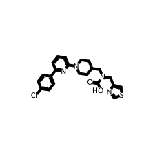 O=C(O)N(Cc1cscn1)CC1CCN(c2cccc(-c3ccc(Cl)cc3)n2)CC1